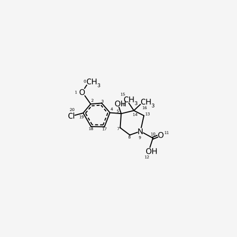 COc1cc(C2(O)CCN(C(=O)O)CC2(C)C)ccc1Cl